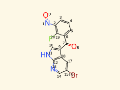 O=Nc1cccc(C(=O)c2c[nH]c3ncc(Br)cc23)c1F